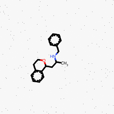 CC(CC1OCCc2ccccc21)NCc1ccccc1